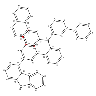 c1ccc(-c2cccc(N(c3ccccc3)c3ccccc3-c3nc(-c4ccc5ccccc5c4)nc(-c4cccc5oc6ccccc6c45)n3)c2)cc1